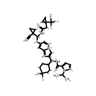 CC(C)n1nccc1C(=O)N[C@H](c1cn2ncc(SC(NC(=O)CC3(C(F)(F)F)CC3)C3(C#N)CC3)cc2n1)C1CCC(F)(F)CC1